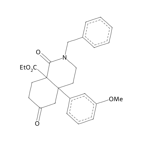 CCOC(=O)C12CCC(=O)CC1(c1cccc(OC)c1)CCN(Cc1ccccc1)C2=O